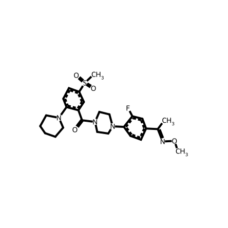 CO/N=C(\C)c1ccc(N2CCN(C(=O)c3cc(S(C)(=O)=O)ccc3N3CCCCC3)CC2)c(F)c1